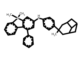 CC1(c2ccc(Nc3cc(-c4ccccc4)c4c(c3)[Si](C)(C)c3ccccc3-4)cc2)CC2CC3CC(C1)C32